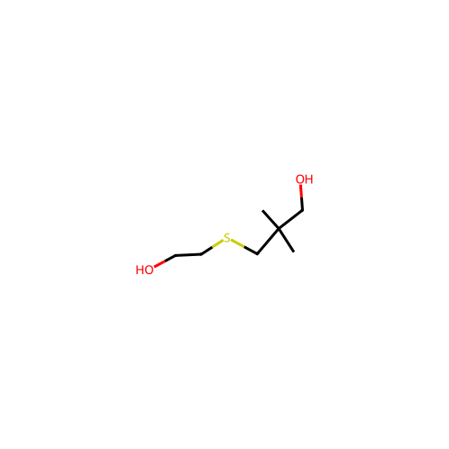 CC(C)(CO)CSCCO